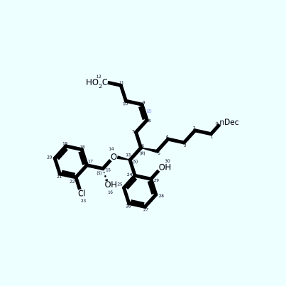 CCCCCCCCCCCCCCC[C@H](C/C=C\CCC(=O)O)[C@H](O[C@H](O)c1ccccc1Cl)c1ccccc1O